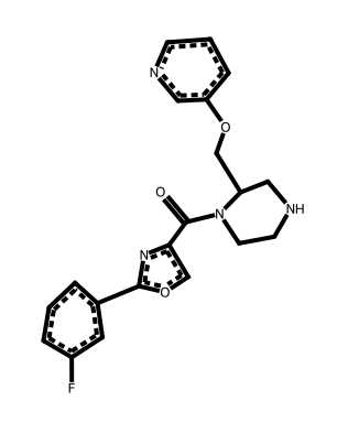 O=C(c1coc(-c2cccc(F)c2)n1)N1CCNCC1COc1cccnc1